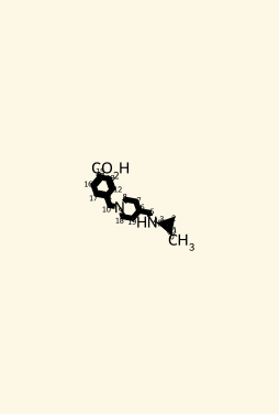 C[C@@H]1C[C@H]1NCC1CCN(Cc2ccc(C(=O)O)cc2)CC1